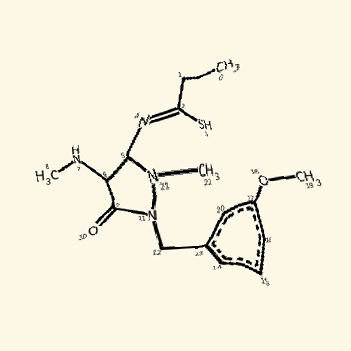 CCC(S)=NC1C(NC)C(=O)N(Cc2cccc(OC)c2)N1C